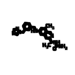 Cc1cc(NCc2cccc(Cn3cncn3)c2)cc2cc(C(C)NC(N)=O)ncc12